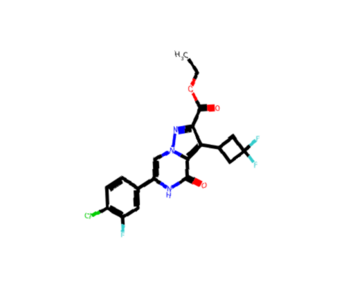 CCOC(=O)c1nn2cc(-c3ccc(Cl)c(F)c3)[nH]c(=O)c2c1C1CC(F)(F)C1